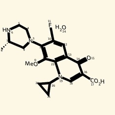 COc1c(N2CCN[C@@H](C)C2)c(F)cc2c(=O)c(C(=O)O)cn(C3CC3)c12.O